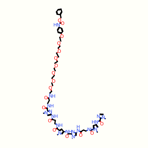 Cn1cc(NC(=O)c2nc(NC(=O)CCNC(=O)c3cc(NC(=O)c4nccn4C)cn3C)cn2C)cc1C(=O)NCCC(=O)Nc1cn(C)c(C(=O)NCCC(=O)NCCOCCOCCOCCOCCOCCOCCOCCOc2ccc(NC(=O)OCc3ccccc3)cc2)n1